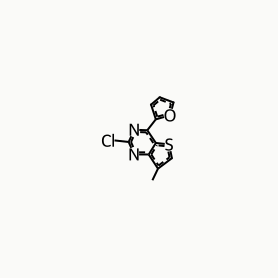 Cc1csc2c(-c3ccco3)nc(Cl)nc12